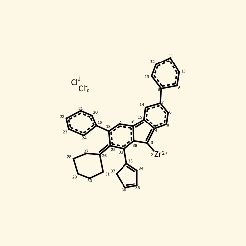 [Cl-].[Cl-].[Zr+2][C]1=c2ccc(-c3ccccc3)cc2=c2cc(-c3ccccc3)c(=C3CCCCC3)c(C3=CC=CC3)c21